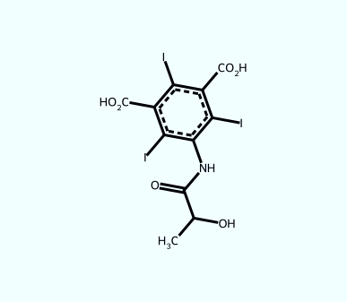 CC(O)C(=O)Nc1c(I)c(C(=O)O)c(I)c(C(=O)O)c1I